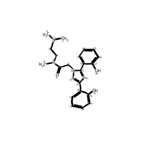 CN(C)CCN(C)C(=O)Cn1nc(-c2ccccc2O)nc1-c1ccccc1O